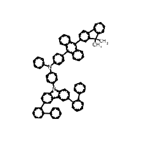 CC1(C)c2ccccc2-c2ccc(-c3c4ccccc4c(-c4ccc(N(c5ccccc5)c5ccc(-n6c7ccc(-c8ccccc8-c8ccccc8)cc7c7cc(-c8ccccc8-c8ccccc8)ccc76)cc5)cc4)c4ccccc34)cc21